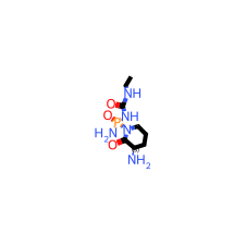 CCNC(=O)NP(N)(=O)N1CCC[C@H](N)C1=O